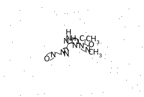 CC(C)C1C(=O)N(C)CCN1c1ccc2[nH]nc(-c3cnn(CCN4CCOCC4)c3)c2n1